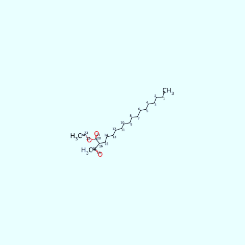 CCCCCCCCCCCCCCCCC(C(C)=O)C(=O)OCC